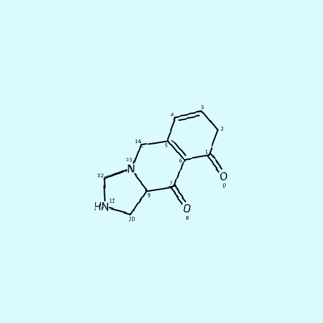 O=C1CC=CC2=C1C(=O)C1CNCN1[C]2